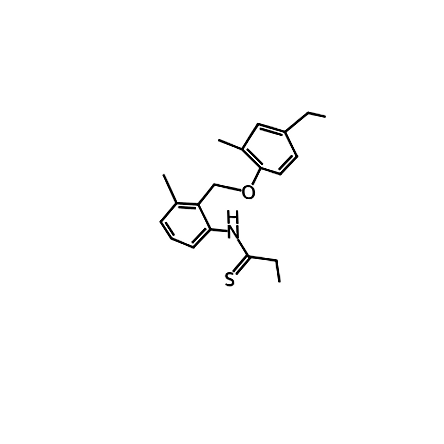 CCC(=S)Nc1cccc(C)c1COc1ccc(CC)cc1C